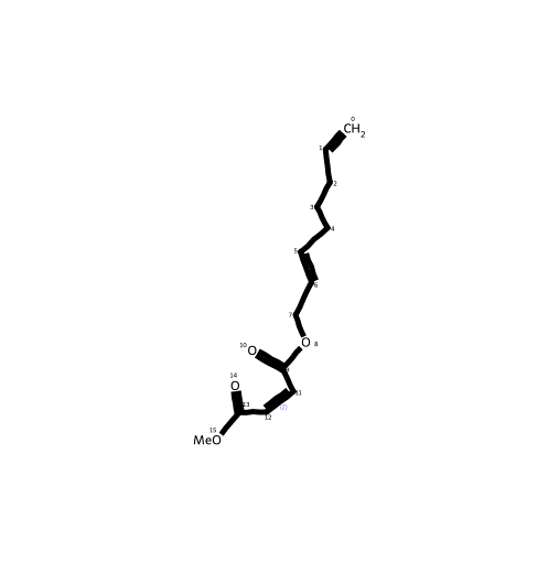 C=CCCCC=CCOC(=O)/C=C\C(=O)OC